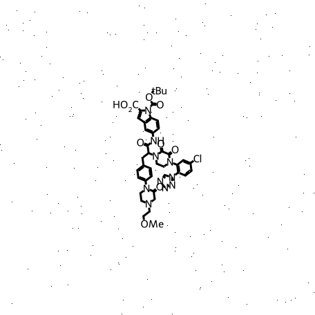 COCCN1CCN(c2ccc(CC(C(=O)Nc3ccc4c(c3)cc(C(=O)O)n4C(=O)OC(C)(C)C)N3CCN(c4cc(Cl)ccc4-n4cnnn4)C(=O)C3=O)cc2)C(=O)C1